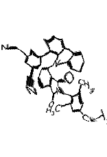 Cc1cc(C)c(N2C(=O)c3cccc(-n4c5ccccc5c5cccc(-c6cc(C#N)cc(C#N)c6)c54)c3C2=O)c(C)c1